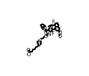 CC#Cc1c(F)ccc2cc(OCOC)cc(-c3ncc4c(N5CC6CCC(C6)C5)nc(OCCCN5CCN(CCCCCC(=O)OC)CC5)nc4c3F)c12